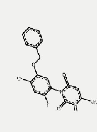 O=c1cc(C(F)(F)F)[nH]c(=O)n1-c1cc(OCc2ccccc2)c(Cl)cc1F